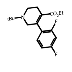 CCOC(=O)C1=C(c2ccc(F)cc2F)CN(C(C)(C)C)CC1